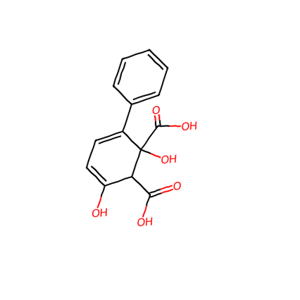 O=C(O)C1C(O)=CC=C(c2ccccc2)C1(O)C(=O)O